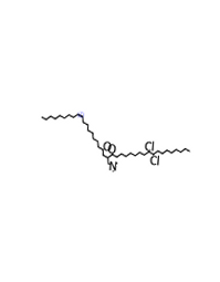 CCCCCCCC/C=C\CCCCCCCC(=O)CC(CN(C)C)C(=O)CCCCCCCC(Cl)C(Cl)CCCCCCCC